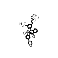 C=Cc1cc(/C=C/C(=O)OC)cc(-c2nn(-c3cc(N4CCOCC4)ccc3[N+](=O)[O-])c(=O)c3ccccc23)c1